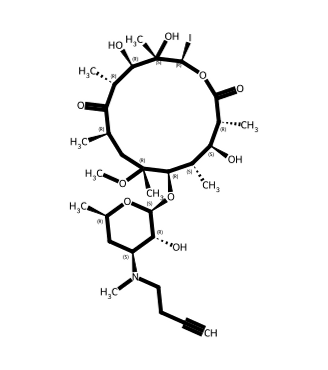 C#CCCN(C)[C@H]1C[C@@H](C)O[C@@H](O[C@@H]2[C@@H](C)[C@H](O)[C@@H](C)C(=O)O[C@H](I)[C@@](C)(O)[C@H](O)[C@@H](C)C(=O)[C@H](C)C[C@@]2(C)OC)[C@@H]1O